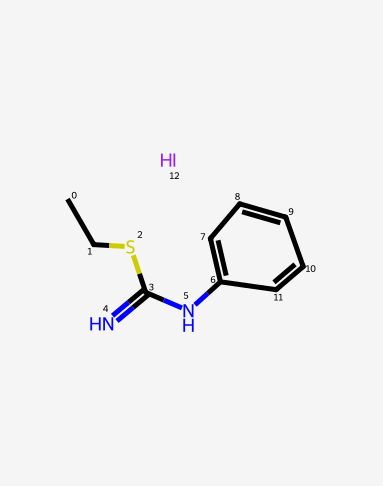 CCSC(=N)Nc1ccccc1.I